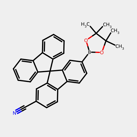 CC1(C)OB(c2ccc3c(c2)C2(c4ccccc4-c4ccccc42)c2cc(C#N)ccc2-3)OC1(C)C